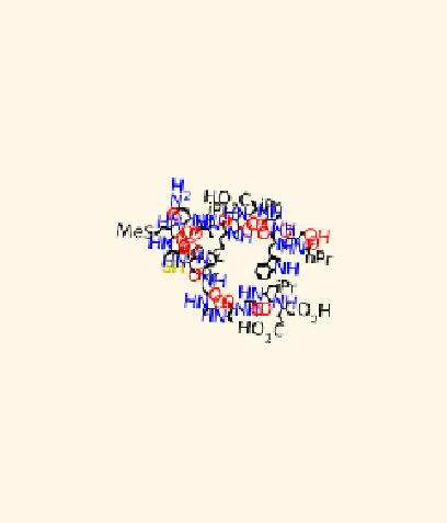 CCCC(=O)NC(CO)C(=O)NC(Cc1c[nH]c2ccccc12)C(=O)NC(CC(C)C)C(=O)NC(CC(=O)O)C(=O)NC(CC(C)C)C(=O)NC(CCC(=O)O)C(=O)NC(C)C(=O)NC(CC(N)=O)C(=O)NC(CCSC)C(=O)NC(CS)C(=O)NC(CC(C)C)C(=O)N1CCCC1C(=O)NCC(=O)NC(C)C(=O)NC(C)C(=O)NCC(=O)NC(CC(C)C)C(=O)NC(CCC(=O)O)C(=O)O